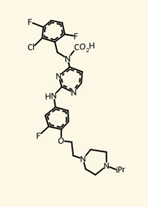 CC(C)N1CCN(CCOc2ccc(Nc3nccc(N(Cc4c(F)ccc(F)c4Cl)C(=O)O)n3)cc2F)CC1